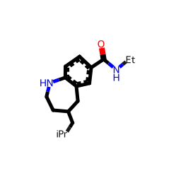 CCNC(=O)c1ccc2c(c1)CC(CC(C)C)CCN2